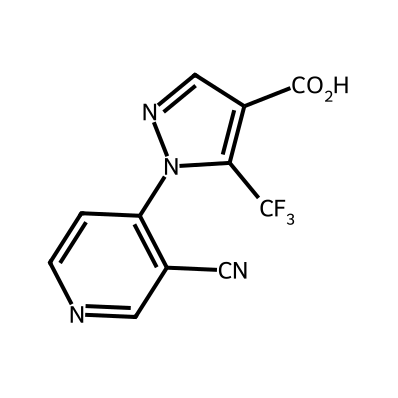 N#Cc1cnccc1-n1ncc(C(=O)O)c1C(F)(F)F